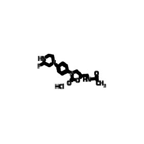 CC(=O)NCC1CN(c2ccc(N3CCNC(F)C3)cc2)C(=O)O1.Cl